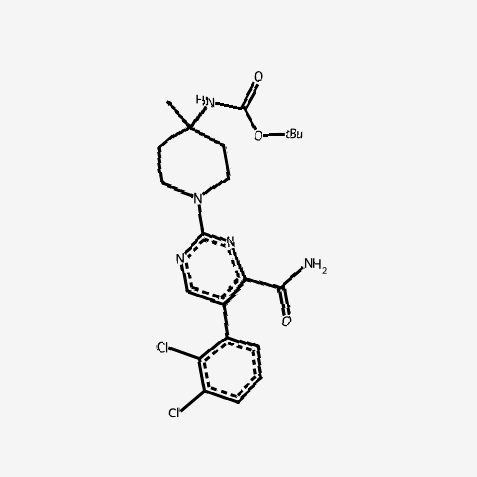 CC1(NC(=O)OC(C)(C)C)CCN(c2ncc(-c3cccc(Cl)c3Cl)c(C(N)=O)n2)CC1